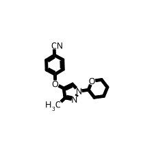 Cc1nn(C2CCCCO2)cc1Oc1ccc(C#N)cc1